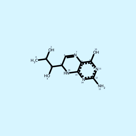 CC(O)C(O)C1C=Nc2c(O)nc(N)nc2N1